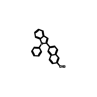 O=Cc1ccc2cc(-c3cc4ccccc4n3-c3ccccc3)ccc2c1